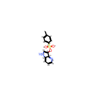 Cc1ccc(S(=O)(=O)Oc2c[nH]c3cccnc23)cc1